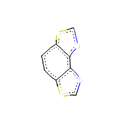 c1nc2c(ccc3scnc32)s1